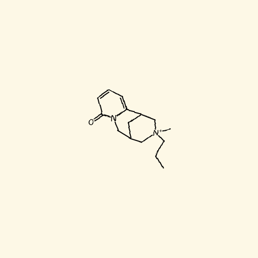 CCC[N+]1(C)CC2CC(C1)c1cccc(=O)n1C2